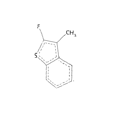 Cc1c(F)sc2cc[c]cc12